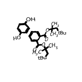 CC(C)(C)CC(C)(C)OC(=O)c1ccccc1C(=O)OC(C)(C)CC(C)(C)C.Oc1ccc(O)cc1